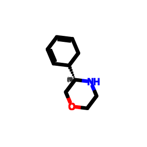 C1=CCC([C@H]2COCCN2)C=C1